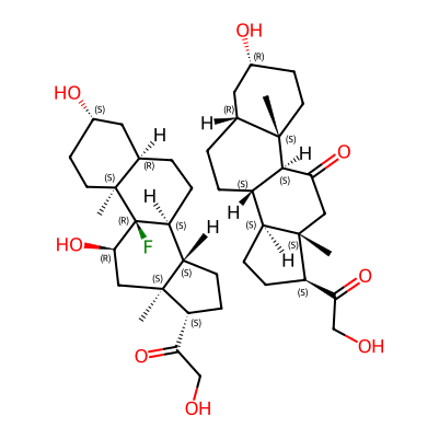 C[C@]12CC[C@@H](O)C[C@H]1CC[C@H]1[C@@H]3CC[C@H](C(=O)CO)[C@@]3(C)CC(=O)[C@@H]12.C[C@]12C[C@@H](O)[C@@]3(F)[C@@H](CC[C@@H]4C[C@@H](O)CC[C@@]43C)[C@@H]1CC[C@@H]2C(=O)CO